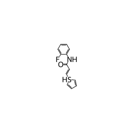 O=C(C=C[SH]1C=CC=C1)Nc1ccccc1F